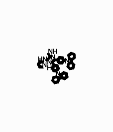 N=CC1=NC(c2ccc(-n3c4c(c5c3CCC=C5)CCC=C4)cc2)=C(c2ccc(-n3c4c(c5ccccc53)C=CCC4)cc2)NC1Nc1ccccn1